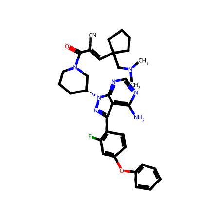 CN(C)CC1(C=C(C#N)C(=O)N2CCC[C@@H](n3nc(-c4ccc(Oc5ccccc5)cc4F)c4c(N)ncnc43)C2)CCCC1